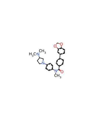 CN(C(=O)c1ccc(-c2ccc3c(c2)OCO3)cc1)c1ccc(N2CCC(N(C)C)C2)cc1